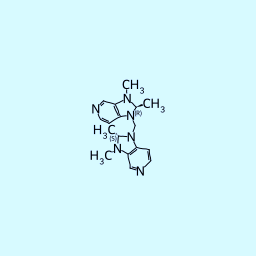 C[C@@H]1N(C)c2cnccc2N1CN1c2ccncc2N(C)[C@@H]1C